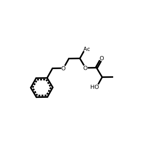 CC(=O)C(COCc1ccccc1)OC(=O)C(C)O